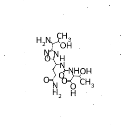 CC(O)[C@H](NC(=O)N[C@@H](CCC(N)=O)c1nc([C@@H](N)C(C)O)no1)C(=O)O